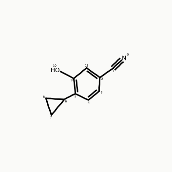 N#Cc1ccc(C2CC2)c(O)c1